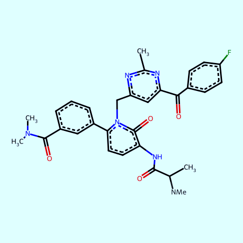 CNC(C)C(=O)Nc1ccc(-c2cccc(C(=O)N(C)C)c2)n(Cc2cc(C(=O)c3ccc(F)cc3)nc(C)n2)c1=O